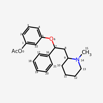 CC(=O)Oc1cccc(OC(CC2CCCCN2C)c2ccccc2)c1